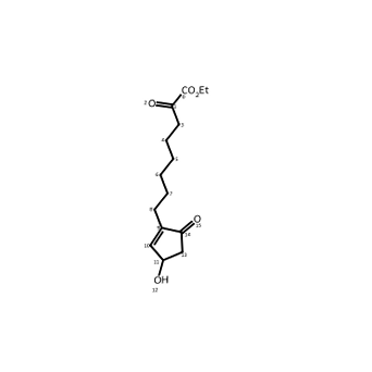 CCOC(=O)C(=O)CCCCCCC1=CC(O)CC1=O